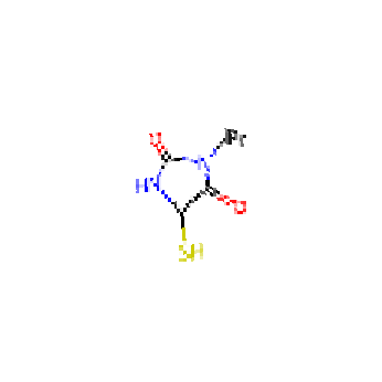 CC(C)N1C(=O)NC(S)C1=O